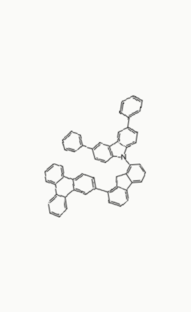 c1ccc(-c2ccc3c(c2)c2cc(-c4ccccc4)ccc2n3-c2cccc3c2Cc2c(-c4ccc5c6ccccc6c6ccccc6c5c4)cccc2-3)cc1